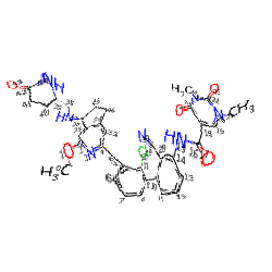 COc1nc(-c2cccc(-c3cccc(NC(=O)c4cn(C)c(=O)n(C)c4=O)c3C#N)c2Cl)cc2c1[C@@H](NC[C@@H]1CCC(=O)N1)CC2